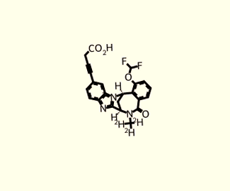 [2H]C([2H])([2H])N1C(=O)c2cccc(OC(F)F)c2[C@H]2C[C@@H]1c1nc3ccc(C#CCC(=O)O)cc3n12